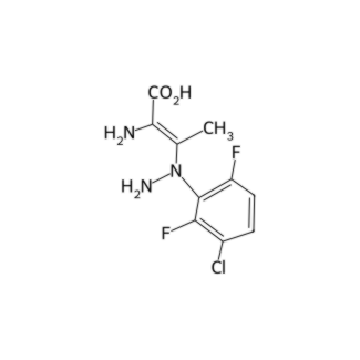 C/C(=C(/N)C(=O)O)N(N)c1c(F)ccc(Cl)c1F